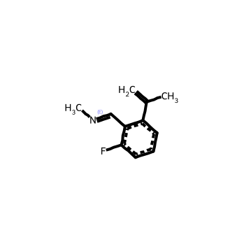 C=C(C)c1cccc(F)c1/C=N/C